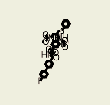 COC(=O)NCC(CSc1ccccc1)Nc1ccc(S(=O)(=O)NC(=O)c2ccc(-c3ccc(F)cc3)cc2)cc1[N+](=O)[O-]